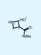 CNC(=O)C1CNC1.Cl